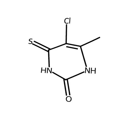 Cc1[nH]c(=O)[nH]c(=S)c1Cl